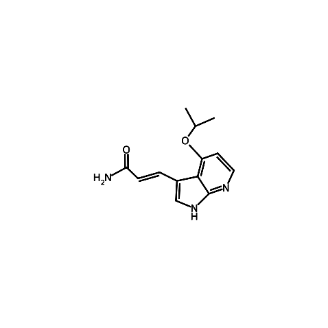 CC(C)Oc1ccnc2[nH]cc(/C=C/C(N)=O)c12